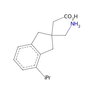 CC(C)c1cccc2c1CC(CN)(CC(=O)O)C2